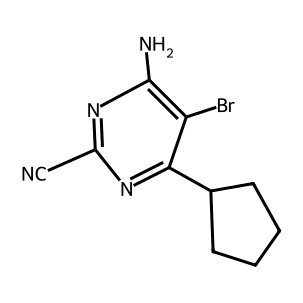 N#Cc1nc(N)c(Br)c(C2CCCC2)n1